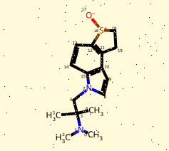 CN(C)C(C)(C)Cn1ccc2c3c(ccc21)[S+]([O-])CC3